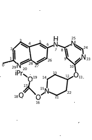 Cc1ccc2cc(Nc3cc(OC4CCN(OC(=O)OC(C)C)CC4)ncn3)ccc2n1